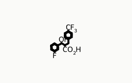 O=C(O)C(Cc1ccc(C(F)(F)F)cc1)C(O)c1cccc(F)c1